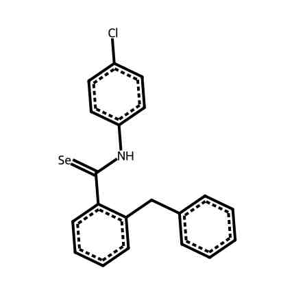 Clc1ccc(NC(=[Se])c2ccccc2Cc2ccccc2)cc1